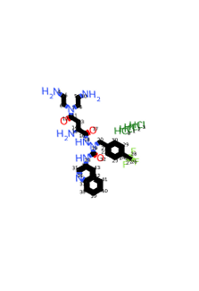 Cl.Cl.Cl.Cl.NCCN(CCN)C(=O)C[C@H](N)C(=O)NN(Cc1ccc(C(F)(F)F)cc1)C(=O)Nc1cnc2ccccc2c1